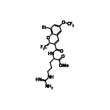 CCc1cc(OC(F)(F)F)cc2c1O[C@H](C(F)(F)F)C(C(=O)NC(CCCNC(=N)N)C(=O)OC)=C2